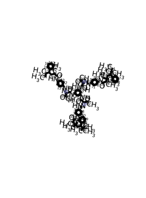 CCC(C)C(CC(C)C(=O)Nc1ccc(N/N=C(/C(C)=O)C(=O)Nc2cc(NC(=O)/C(=N\Nc3ccc(NC(=O)C(C)C(C)(C)CC(c4ccccc4)C(C)(C)C)cc3)C(C)=O)cc(NC(=O)/C(=N\Nc3ccc(NC(=O)C(C)C(C)(CC)CC(c4ccccc4)C(C)(C)CC)cc3)C(C)=O)c2)cc1)c1ccccc1